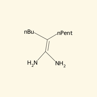 CCCCCC(CCCC)=C(N)N